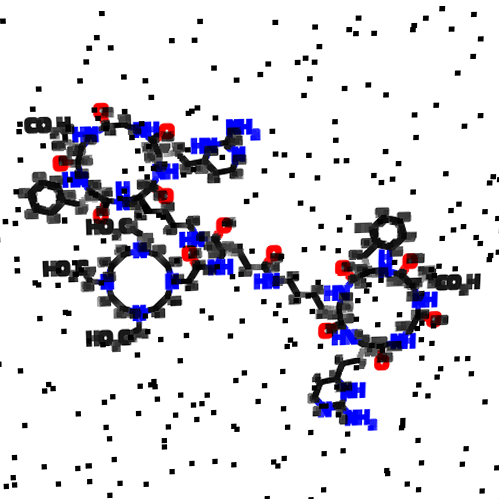 NC1=NCCC(CC[C@@H]2NC(=O)[C@H](CCCCNC(=O)CC[C@H](NC(=O)CN3CCN(CC(=O)O)CCN(CC(=O)O)CCN(CC(=O)O)CC3)C(=O)NCCCC[C@H]3NC(=O)[C@H](Cc4ccccc4)NC(=O)[C@H](CC(=O)O)NC(=O)CNC(=O)[C@H](CCC4CCN=C(N)N4)NC3=O)NC(=O)[C@H](Cc3ccccc3)NC(=O)[C@H](CC(=O)O)NC(=O)CNC2=O)N1